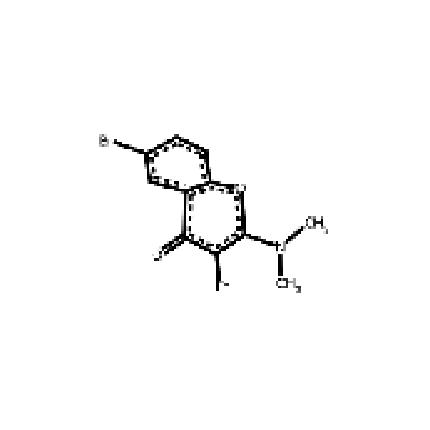 CCc1c(N(C)C)oc2ccc(Br)cc2c1=O